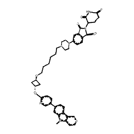 Cn1c2ccncc2c2ccc(-c3ccc(O[C@H]4C[C@H](OCCCCCCN5CCN(c6ccc7c(c6)C(=O)N(C6CCC(=O)NC6=O)C7=O)CC5)C4)nc3)cc21